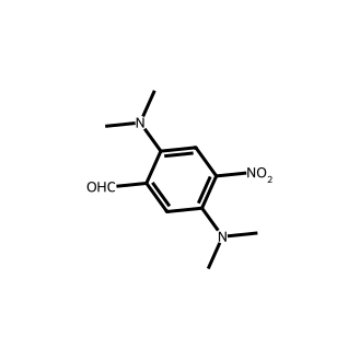 CN(C)c1cc([N+](=O)[O-])c(N(C)C)cc1C=O